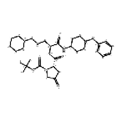 CC(C)(C)OC(=O)N1CC(=O)C[C@H]1C(=O)N[C@@H](CSCC1CCCCC1)C(=O)NC1CCN(Cc2ccccc2)CC1